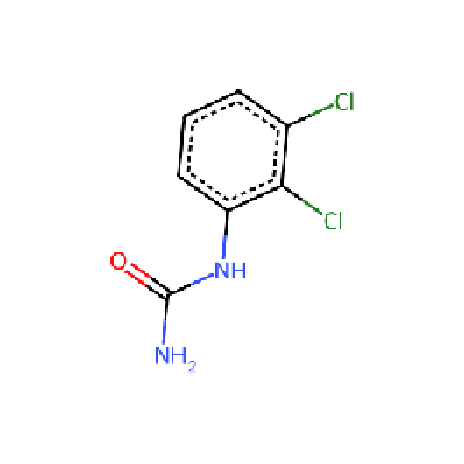 NC(=O)Nc1cccc(Cl)c1Cl